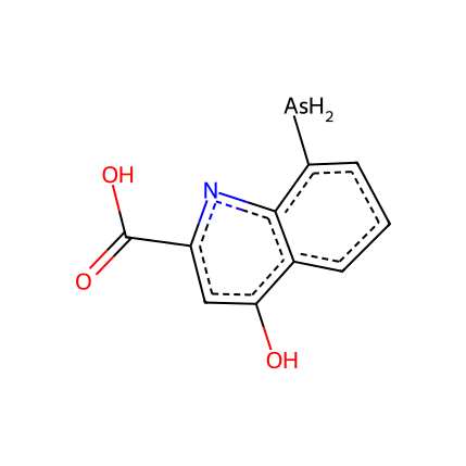 O=C(O)c1cc(O)c2cccc([AsH2])c2n1